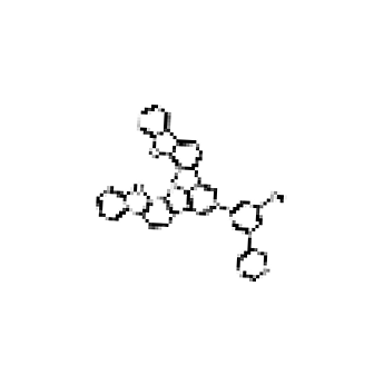 CC(C)c1cc(C2=CC=CCC2)cc(-c2cc3c4ccc5c6ccccc6oc5c4n4c3c(c2)c2ccc3c5ccccc5oc3c24)c1